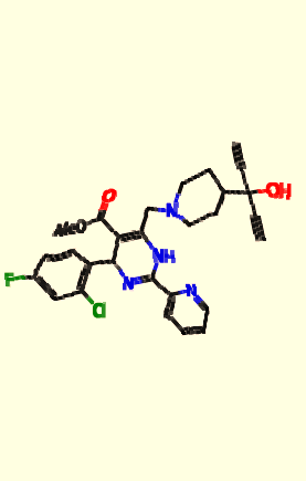 C#CC(O)(C#C)C1CCN(CC2=C(C(=O)OC)C(c3ccc(F)cc3Cl)N=C(c3ccccn3)N2)CC1